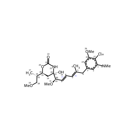 CNc1cc(C/C(C)=C/C=C/[C@@H](OC)[C@@]2(O)C[C@@H]([C@@H](C)COC)OC(=O)N2)cc(OC)c1Cl